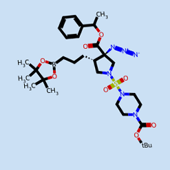 CC(OC(=O)[C@]1(N=[N+]=[N-])CN(S(=O)(=O)N2CCN(C(=O)OC(C)(C)C)CC2)C[C@@H]1CCCB1OC(C)(C)C(C)(C)O1)c1ccccc1